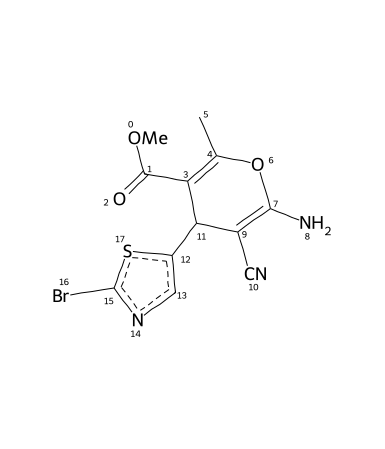 COC(=O)C1=C(C)OC(N)=C(C#N)C1c1cnc(Br)s1